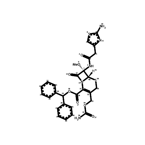 CO[C@@]1(NC(=O)Cc2csc(N)n2)C(=O)N2C(C(=O)OC(c3ccccc3)c3ccccc3)=C(COC(N)=O)CS[C@H]21